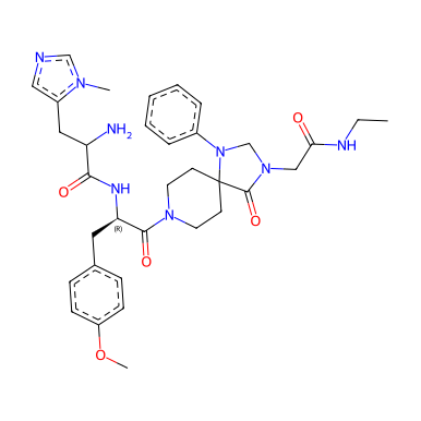 CCNC(=O)CN1CN(c2ccccc2)C2(CCN(C(=O)[C@@H](Cc3ccc(OC)cc3)NC(=O)C(N)Cc3cncn3C)CC2)C1=O